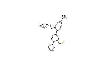 Cc1ccc(-c2ccc(-c3cccnc3)c(CF)c2)c(CCC(=O)O)c1